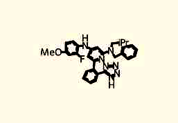 COc1ccc(Nc2cc(-c3ccccc3-c3nnn[nH]3)nc(N(Cc3ccccc3)CC(C)C)c2)c(F)c1